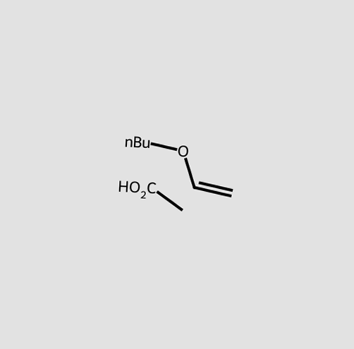 C=COCCCC.CC(=O)O